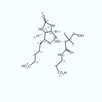 CC(C)(CO)[C@@H](O)C(=O)NCCC(=O)O.O=C(O)CCCC[C@@H]1SC[C@@H]2NC(=O)N[C@@H]21